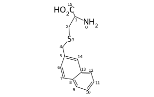 NC(CSCc1ccc2ccccc2c1)C(=O)O